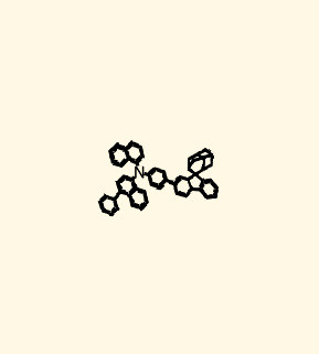 C1=CC2c3ccccc3C3(C4CC5CC(C4)CC3C5)C2C=C1c1ccc(N(c2cccc3ccccc23)c2ccc(-c3ccccc3)c3ccccc23)cc1